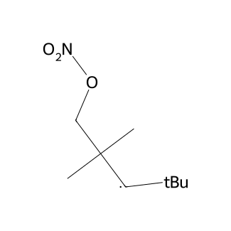 CC(C)(C)[CH]C(C)(C)CO[N+](=O)[O-]